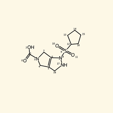 O=C(O)N1CC2=C(C1)N(S(=O)(=O)C1CCCC1)NC2